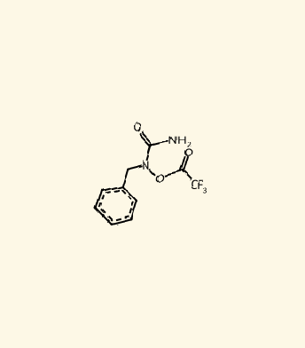 NC(=O)N(Cc1ccccc1)OC(=O)C(F)(F)F